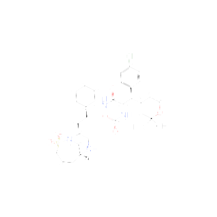 CC1(C)C[C@H]([C@H](c2ccc(Cl)cc2)[C@H](NC(=O)O)C(=O)N[C@H]2CCCC[C@@H]2CC[C@H]2CN[C@@H]3CCCS(=O)(=O)N2C3)CCO1